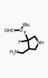 CC(C)(C)OC=O.NCC1CNCC1(F)F